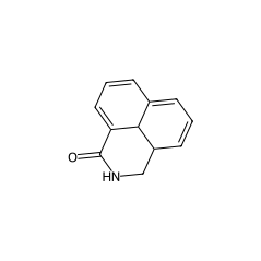 O=C1NCC2C=CC=C3C=CC=C1C32